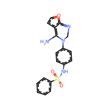 NC1=c2ccoc2=NCN1c1ccc(NS(=O)(=O)c2ccccc2)cc1